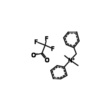 C[N+](C)(Cc1ccccc1)c1ccccc1.O=C([O-])C(F)(F)F